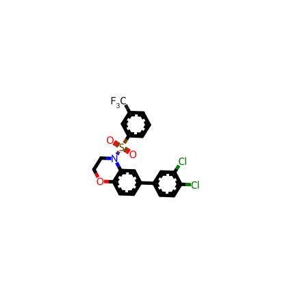 O=S(=O)(c1cccc(C(F)(F)F)c1)N1CCOc2ccc(-c3ccc(Cl)c(Cl)c3)cc21